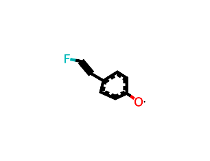 [O]c1ccc(C#CF)cc1